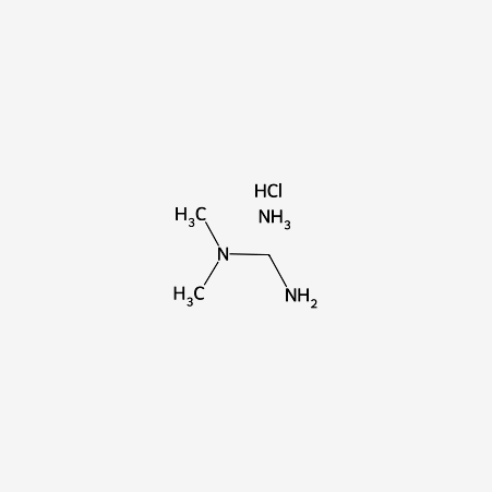 CN(C)CN.Cl.N